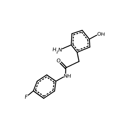 Nc1ccc(O)cc1CC(=O)Nc1ccc(F)cc1